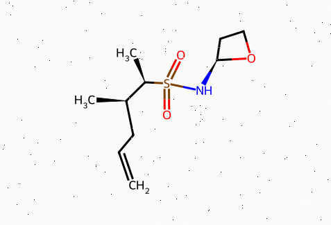 C=CC[C@@H](C)[C@@H](C)S(=O)(=O)N[C@H]1CCO1